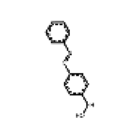 ONc1ccc(/N=N/c2ccccc2)cc1